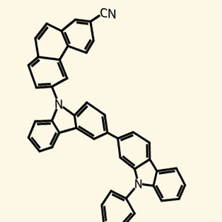 N#Cc1ccc2c(ccc3ccc(-n4c5ccccc5c5cc(-c6ccc7c8ccccc8n(-c8ccccc8)c7c6)ccc54)cc32)c1